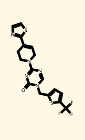 O=c1nc(N2CC=C(c3nccs3)CC2)ncn1Cc1ccc(C(F)(F)F)s1